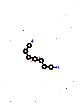 [C-]#[N+]c1ccc(-c2cccc(-c3ccc4oc5cc6c(cc5c4c3)oc3ccc(-c4cccc(-c5ccc(C#N)cc5)c4)cc36)c2)cc1